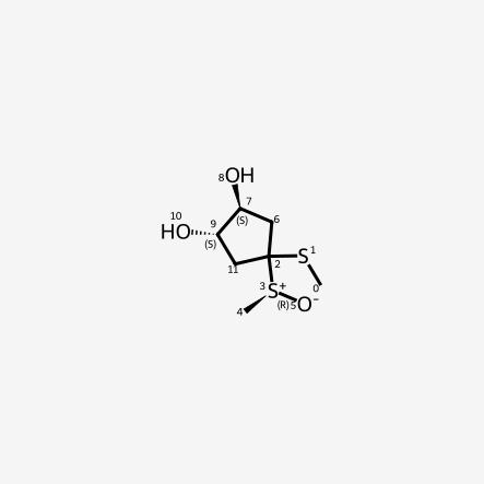 CSC1([S@+](C)[O-])C[C@H](O)[C@@H](O)C1